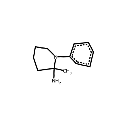 CC1(N)CCCCN1c1ccccc1